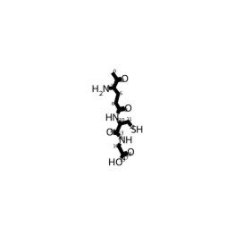 CC(=O)C(N)CCC(=O)NC(CS)C(=O)NCC(=O)O